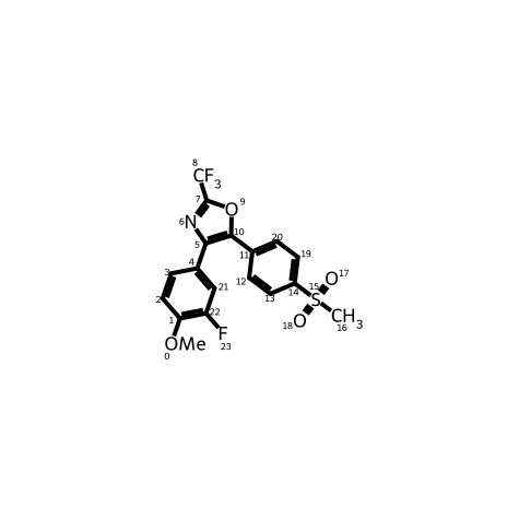 COc1ccc(-c2nc(C(F)(F)F)oc2-c2ccc(S(C)(=O)=O)cc2)cc1F